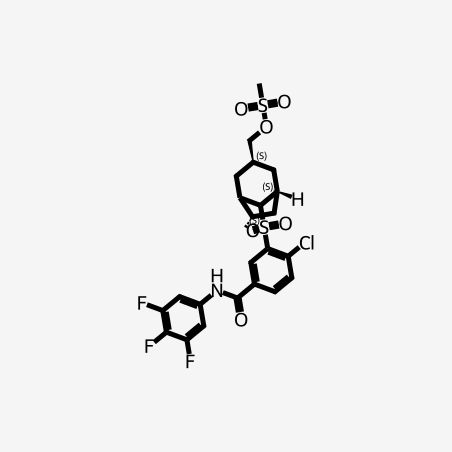 C[C@H]1C[C@H]2C[C@H](COS(C)(=O)=O)CC1C2S(=O)(=O)c1cc(C(=O)Nc2cc(F)c(F)c(F)c2)ccc1Cl